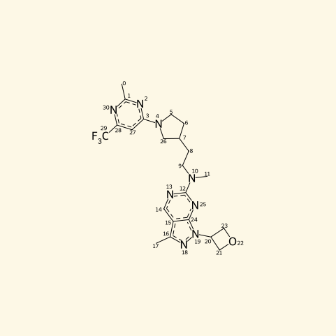 Cc1nc(N2CCC(CCN(C)c3ncc4c(C)nn(C5COC5)c4n3)C2)cc(C(F)(F)F)n1